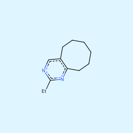 CCc1ncc2c(n1)CCCCCC2